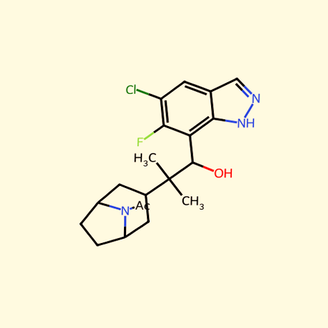 CC(=O)N1C2CCC1CC(C(C)(C)C(O)c1c(F)c(Cl)cc3cn[nH]c13)C2